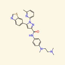 Cc1cccc(-n2nc(C(=O)Nc3ccc(N(C)CCN(C)C)cc3)cc2-c2ccc3ncsc3c2)n1